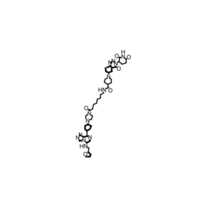 O=C1CCC(n2nnc3ccc(N4CCC(C(=O)NCCCCCCCC(=O)N5CCN(c6ccc(-c7ncc(NCc8ccco8)n8cnnc78)cc6)CC5)CC4)cc3c2=O)C(=O)N1